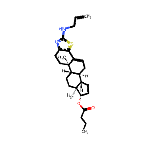 C=CCNc1nc2c(s1)C1=CC[C@H]3[C@@H]4CC[C@H](OC(=O)CCC)[C@@]4(C)CC[C@@H]3[C@@]1(C)CC2